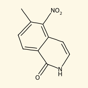 Cc1ccc2c(=O)[nH]ccc2c1[N+](=O)[O-]